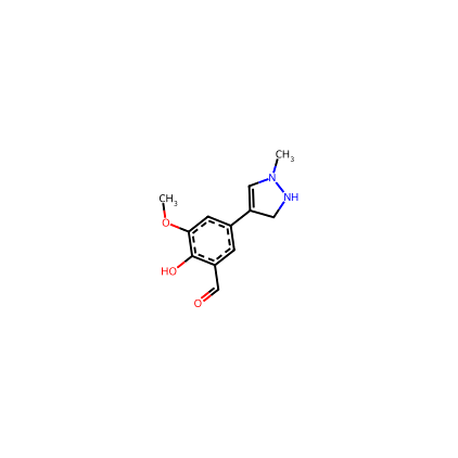 COc1cc(C2=CN(C)NC2)cc(C=O)c1O